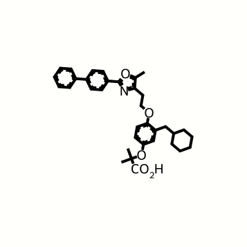 Cc1oc(-c2ccc(-c3ccccc3)cc2)nc1CCOc1ccc(OC(C)(C)C(=O)O)cc1CC1CCCCC1